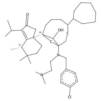 CC(C)C1=C2[C@@H](C)C(C)(C)CCC2([C@@]23CCCC(C4CCCCCC4)CCC(N(CCN(C)C)Cc4ccc(Cl)cc4)(C2)C3O)CC1=O